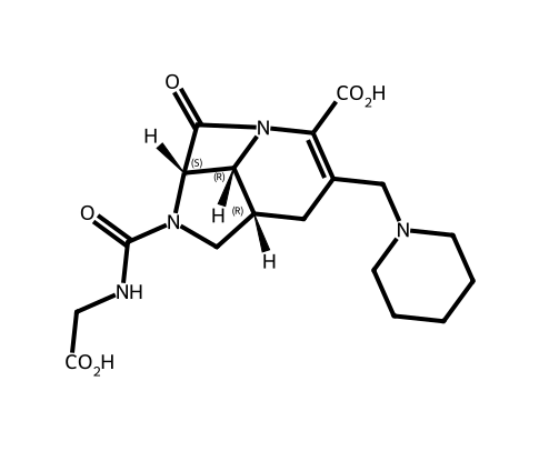 O=C(O)CNC(=O)N1C[C@H]2CC(CN3CCCCC3)=C(C(=O)O)N3C(=O)[C@@H]1[C@@H]23